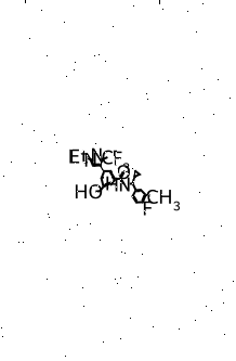 CCn1cc(-c2cc(CO)cc(C(=O)NC(c3ccc(F)c(C)c3)C3CC3)c2)c(C(F)(F)F)n1